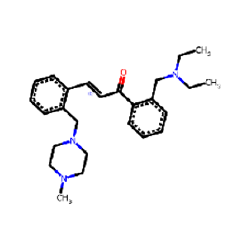 CCN(CC)Cc1ccccc1C(=O)/C=C/c1ccccc1CN1CCN(C)CC1